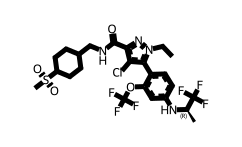 CCn1nc(C(=O)NCC2CCC(S(C)(=O)=O)CC2)c(Cl)c1-c1ccc(N[C@H](C)C(F)(F)F)cc1OC(F)(F)F